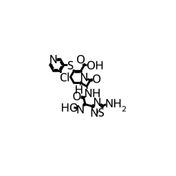 Nc1nc(/C(=N/O)C(=O)N[C@@H]2C(=O)N3C(C(=O)O)=C(Sc4cnccc4Cl)CC[C@H]23)ns1